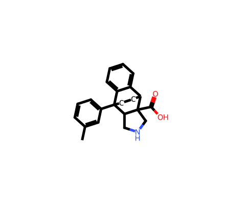 Cc1cccc(C23CCC(c4ccccc42)C2(C(=O)O)CNCC32)c1